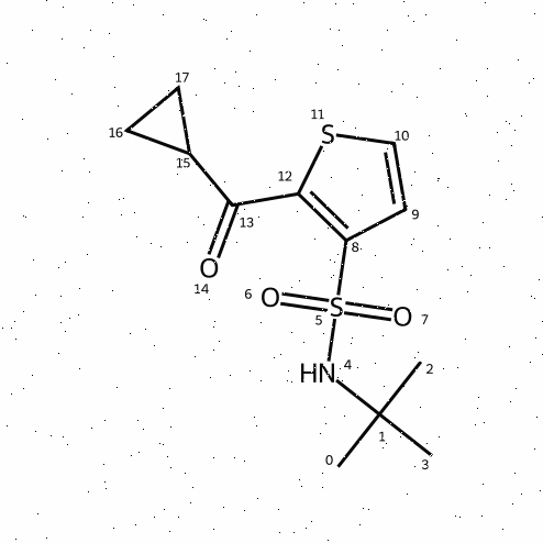 CC(C)(C)NS(=O)(=O)c1ccsc1C(=O)C1CC1